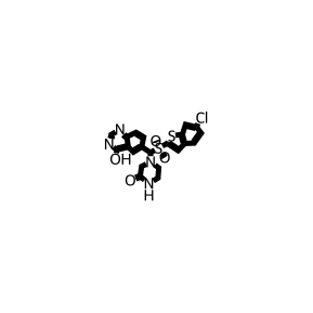 O=C1CN(C(c2ccc3ncnc(O)c3c2)S(=O)(=O)c2cc3ccc(Cl)cc3s2)CCN1